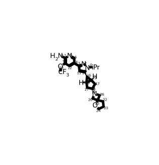 CC(C)n1nc(-c2cnc(N)c(OC(F)(F)F)c2)cc1[C@H]1[C@@H]2C[C@H](N3CC4(CCCO4)C3)C[C@@H]21